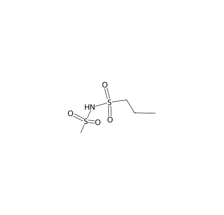 CCCS(=O)(=O)NS(C)(=O)=O